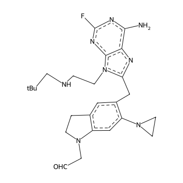 CC(C)(C)CNCCn1c(Cc2cc3c(cc2N2CC2)N(CC=O)CC3)nc2c(N)nc(F)nc21